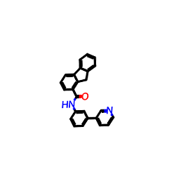 O=C(Nc1cccc(-c2cccnc2)c1)c1cccc2c1Cc1ccccc1-2